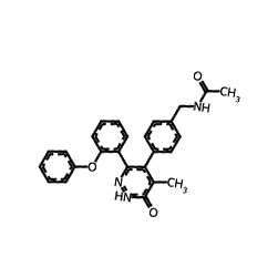 CC(=O)NCc1ccc(-c2c(-c3ccccc3Oc3ccccc3)n[nH]c(=O)c2C)cc1